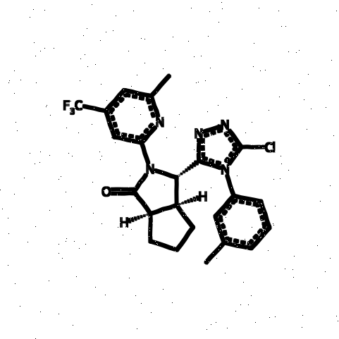 Cc1cccc(-n2c(Cl)nnc2[C@@H]2[C@H]3CCC[C@H]3C(=O)N2c2cc(C(F)(F)F)cc(C)n2)c1